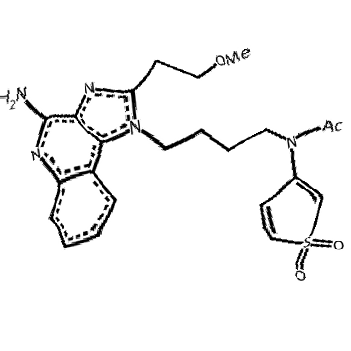 COCCc1nc2c(N)nc3ccccc3c2n1CCCCN(C(C)=O)C1=CS(=O)(=O)C=C1